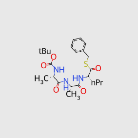 CCC[C@H](NC(=O)[C@H](C)NC(=O)[C@H](C)NC(=O)OC(C)(C)C)C(=O)SCc1ccccc1